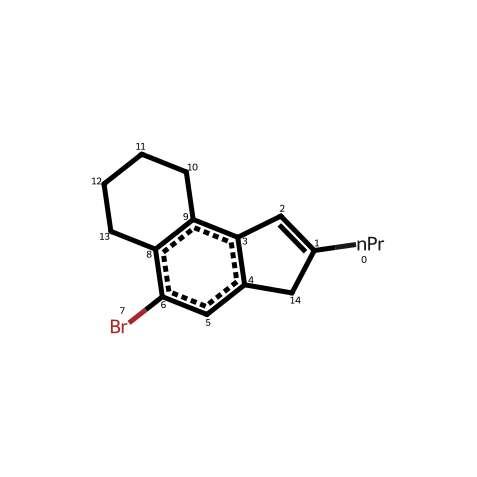 CCCC1=Cc2c(cc(Br)c3c2CCCC3)C1